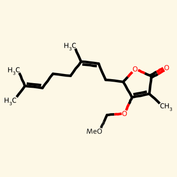 COCOC1=C(C)C(=O)OC1CC=C(C)CCC=C(C)C